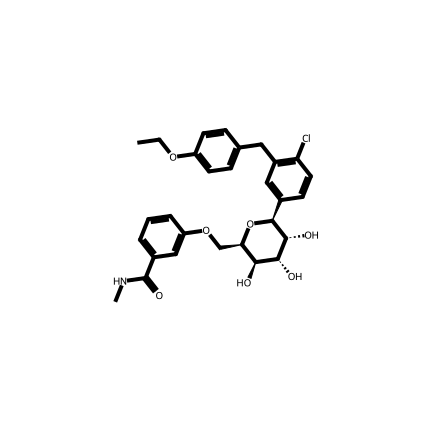 CCOc1ccc(Cc2cc([C@@H]3O[C@H](COc4cccc(C(=O)NC)c4)[C@H](O)[C@@H](O)[C@H]3O)ccc2Cl)cc1